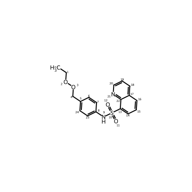 CCOOCc1ccc(NS(=O)(=O)c2cccc3cccnc23)cc1